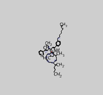 C=C=CCCC/C=C/c1cccc(C2=CC(C(=C/C=C)/C=C(\C)c3cccnc3)=NC(C(C=C)CC(=C)C3=C\C=C/C=C\C=C(C(=C)CCC=C)\C=C\CC\C=C\3)N2)c1